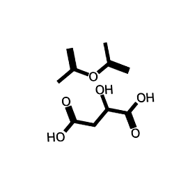 C=C(C)OC(=C)C.O=C(O)CC(O)C(=O)O